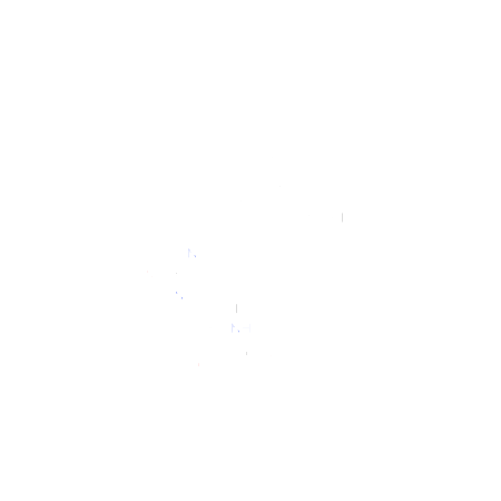 O=C1CO[C@H]2CCN(C(=O)N3CCC(Cc4ccc(C(F)(F)F)cc4C4CCCC4)CC3)C[C@H]2N1